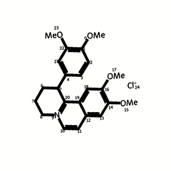 COc1ccc(C2CCC[n+]3ccc4cc(OC)c(OC)cc4c32)cc1OC.[Cl-]